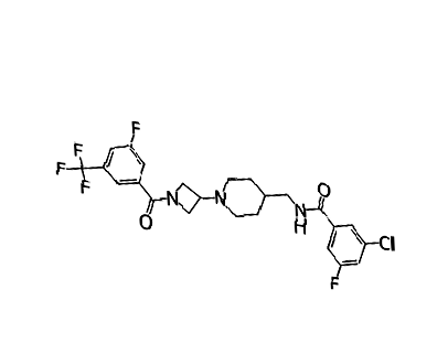 O=C(NCC1CCN(C2CN(C(=O)c3cc(F)cc(C(F)(F)F)c3)C2)CC1)c1cc(F)cc(Cl)c1